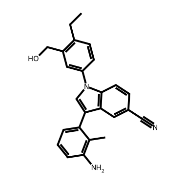 CCc1ccc(-n2cc(-c3cccc(N)c3C)c3cc(C#N)ccc32)cc1CO